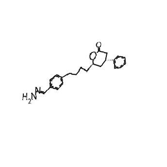 NN=Cc1ccc(CCCC[C@@H]2C[C@@H](c3ccccc3)CC(=O)O2)cc1